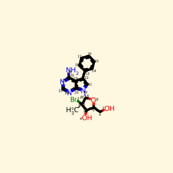 C[C@@]1(Br)C(O)C(CO)O[C@H]1n1cc(-c2ccccc2)c2c(N)ncnc21